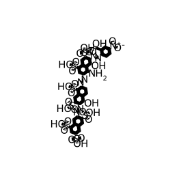 Nc1c(N=Nc2ccc3c(O)c(N=Nc4cc5c(S(=O)(=O)O)cc(S(=O)(=O)O)cc5cc4S(=O)(=O)O)c(S(=O)(=O)O)cc3c2S(=O)(=O)O)cc(S(=O)(=O)O)c2cc(S(=O)(=O)O)c(N=Nc3ccc([N+](=O)[O-])cc3C(=O)O)c(O)c12